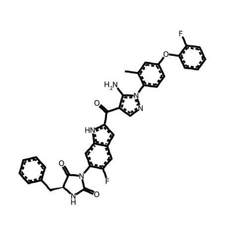 Cc1cc(Oc2ccccc2F)ccc1-n1ncc(C(=O)c2cc3cc(F)c(N4C(=O)N[C@@H](Cc5ccccc5)C4=O)cc3[nH]2)c1N